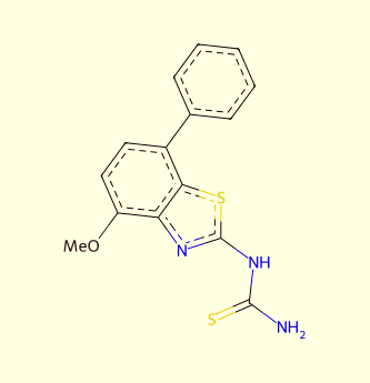 COc1ccc(-c2ccccc2)c2sc(NC(N)=S)nc12